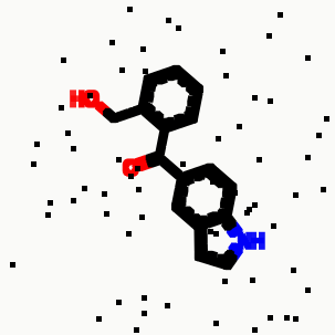 O=C(c1ccc2[nH]ccc2c1)c1ccccc1CO